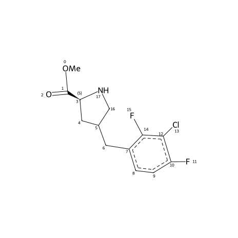 COC(=O)[C@@H]1CC(Cc2ccc(F)c(Cl)c2F)CN1